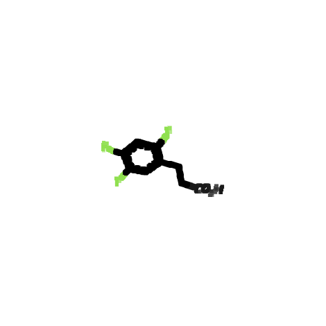 O=C(O)CCc1cc(F)c(F)cc1F